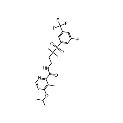 Cc1c(OC(C)C)ncnc1C(=O)NCCC(C)(C)S(=O)(=O)c1cc(F)cc(C(F)(F)F)c1